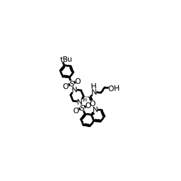 CC(C)(C)c1ccc(S(=O)(=O)N2CCN(S(=O)(=O)c3cccc4cccnc34)[C@@H](C(=O)NCCO)C2)cc1